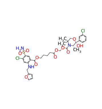 C[C@@H]1N(C(=O)OCOC(=O)CCCCOC(=O)c2cc(S(N)(=O)=O)c(Cl)cc2NCc2ccco2)C(C)(C)CO[C@@]1(O)c1cccc(Cl)c1